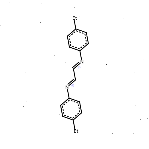 CCc1ccc(/N=C/C=N/c2ccc(CC)cc2)cc1